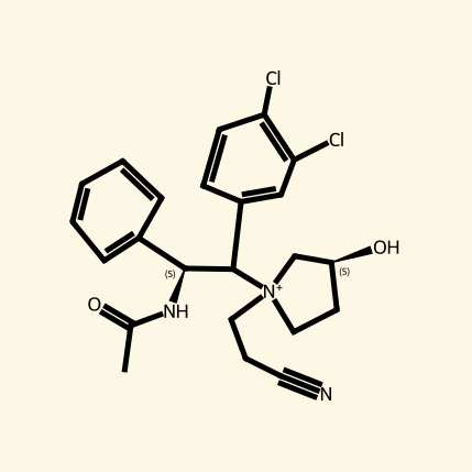 CC(=O)N[C@@H](c1ccccc1)C(c1ccc(Cl)c(Cl)c1)[N+]1(CCC#N)CC[C@H](O)C1